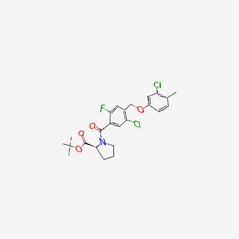 Cc1ccc(OCc2cc(F)c(C(=O)N3CCC[C@H]3C(=O)OC(C)(C)C)cc2Cl)cc1Cl